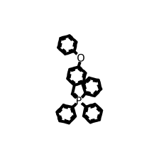 C(c1ccc(Oc2ccccc2)cc1)=P(c1ccccc1)(c1ccccc1)c1ccccc1